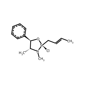 CC=CC[Si@@]1(Cl)O[C@H](c2ccccc2)[C@@H](C)N1C